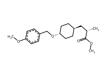 COC(=O)[C@@H](C)C[C@H]1CC[C@H](OCc2ccc(OC)cc2)CC1